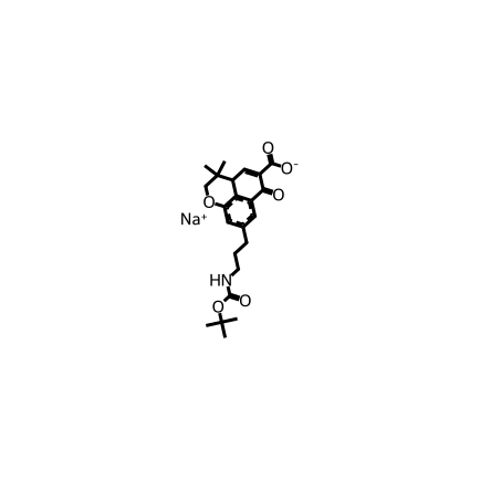 CC(C)(C)OC(=O)NCCCc1cc2c3c(c1)C(=O)C(C(=O)[O-])=CC3C(C)(C)CO2.[Na+]